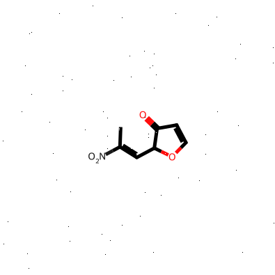 CC(=CC1OC=CC1=O)[N+](=O)[O-]